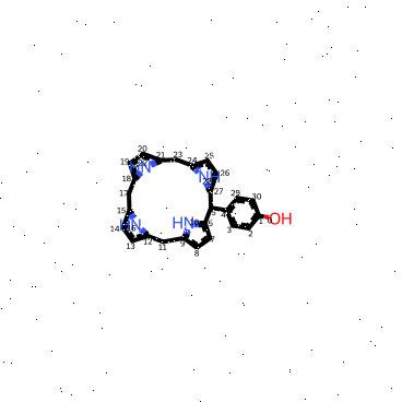 Oc1ccc(C2c3ccc([nH]3)Cc3ccc([nH]3)Cc3ccc([nH]3)Cc3ccc2[nH]3)cc1